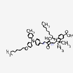 CCCCCCCC[N+]1=C(/C=C2/C(=O)C(/C=C/c3ccc(N(c4ccc(C)cc4)c4ccc(OCCCCCC)cc4)cc3)=C2O)C(C)(C)c2cc(C(=O)O)ccc21